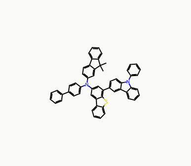 CC1(C)c2ccccc2-c2ccc(N(c3ccc(-c4ccccc4)cc3)c3cc(-c4ccc5c(c4)c4ccccc4n5-c4ccccc4)c4sc5ccccc5c4c3)cc21